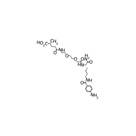 C[C@@H](CCC(=O)NCCOCCOCC(=O)N[C@@H](CCCCNC(=O)c1ccc(N)cc1)C(N)=O)C(=O)O